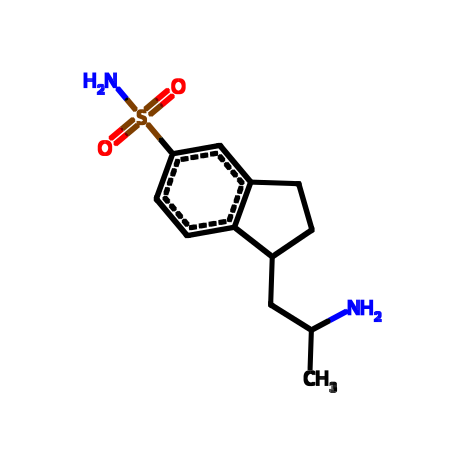 CC(N)CC1CCc2cc(S(N)(=O)=O)ccc21